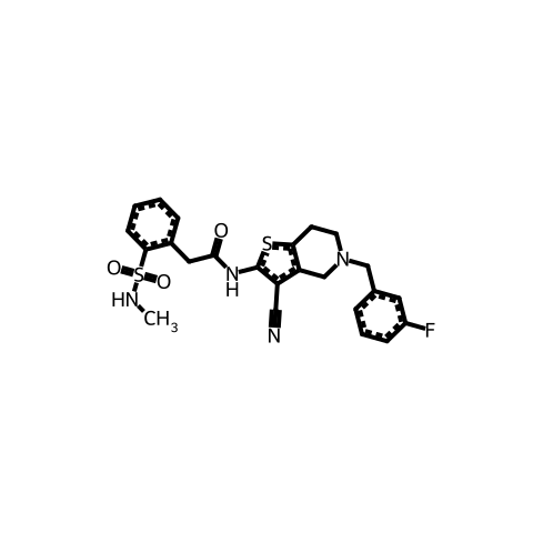 CNS(=O)(=O)c1ccccc1CC(=O)Nc1sc2c(c1C#N)CN(Cc1cccc(F)c1)CC2